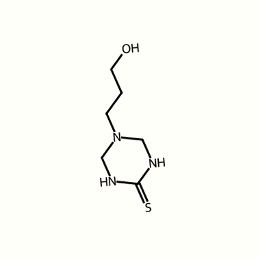 OCCCN1CNC(=S)NC1